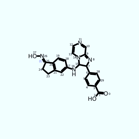 O=C(O)c1ccc(C2N=C3C=NC=CN3C2Nc2ccc3c(c2)CC/C3=N\O)cc1